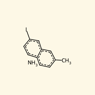 Cc1ccc2ccc(I)cc2c1.N